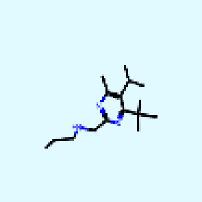 CCCNCc1nc(C)c(C(C)C)c(C(C)(C)C)n1